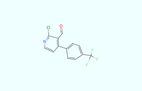 O=Cc1c(-c2ccc(C(F)(F)F)cc2)ccnc1Cl